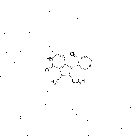 Cc1c(C(=O)O)n(-c2ccccc2Cl)c2nc[nH]c(=O)c12